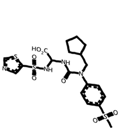 CS(=O)(=O)c1ccc(N(CC2CCCC2)C(=O)NC(NS(=O)(=O)c2cncs2)C(=O)O)cc1